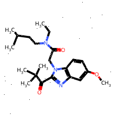 CCN(CCC(C)C)C(=O)Cn1c(C(=O)C(C)(C)C)nc2cc(OC)ccc21